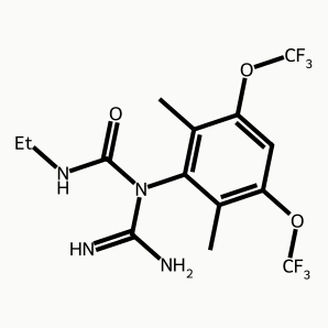 CCNC(=O)N(C(=N)N)c1c(C)c(OC(F)(F)F)cc(OC(F)(F)F)c1C